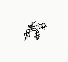 CC(C)CN(CC[C@@H](Cc1ccccc1)NC(=O)OCc1cncs1)S(=O)(=O)c1ccc2nc(N)oc2c1